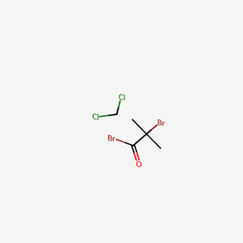 CC(C)(Br)C(=O)Br.ClCCl